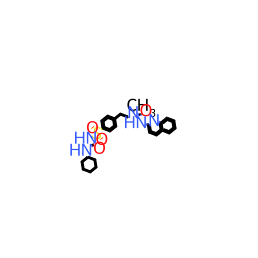 CN(CCc1ccc(S(=O)(=O)NC(=O)NC2CCCCC2)cc1)C(=O)Nc1ccc2ccccc2n1